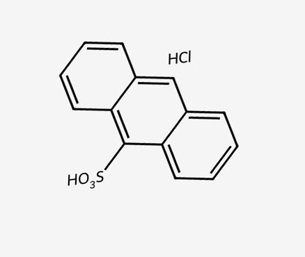 Cl.O=S(=O)(O)c1c2ccccc2cc2ccccc12